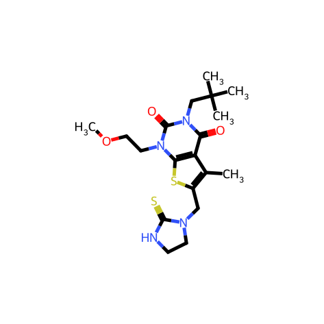 COCCn1c(=O)n(CC(C)(C)C)c(=O)c2c(C)c(CN3CCNC3=S)sc21